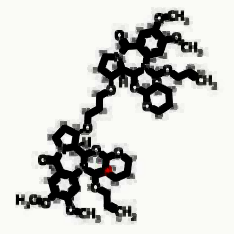 C=CCOC(=O)N1c2cc(OC)c(OC)cc2C(=O)N2CC[C@H](OCCCO[C@H]3CCN4C(=O)c5cc(OC)c(OC)cc5N(C(=O)OCC=C)C(OC5CCCCO5)[C@H]34)[C@H]2C1OC1CCCCO1